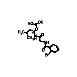 CC(C)C[C@H](NC(=O)CNC(=O)c1ccccc1Br)OB(O)O